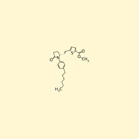 CCCCCCc1ccc(N2C(=O)CC[C@@H]2C=Cc2ccc(C(=O)OC)s2)cc1